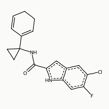 O=C(NC1(C2=CCCC=C2)CC1)c1cc2cc(Cl)c(F)cc2[nH]1